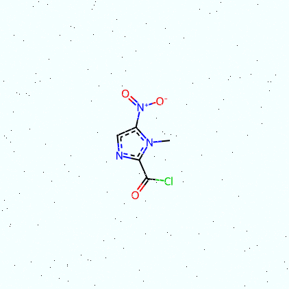 Cn1c([N+](=O)[O-])cnc1C(=O)Cl